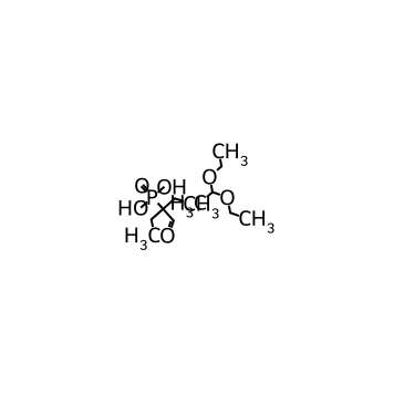 CCC(C=O)(CC)P(=O)(O)O.CCOC(C)OCC